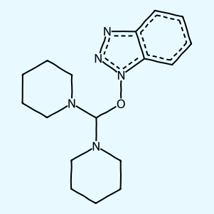 c1ccc2c(c1)nnn2OC(N1CCCCC1)N1CCCCC1